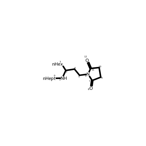 CCCCCCCNC(CCCCCC)CCN1C(=O)CCC1=O